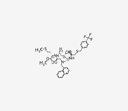 CC[C@H](C)[C@@H](CN(CC(=O)N[C@@H](CCSC)C(=O)OC)Cc1cccc2ccccc12)NC(=O)CSCc1ccc(C(F)(F)F)cc1